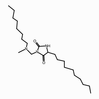 CCCCCCCCCCC1NC(=O)N(CN(C)CCCCCCCC)C1=O